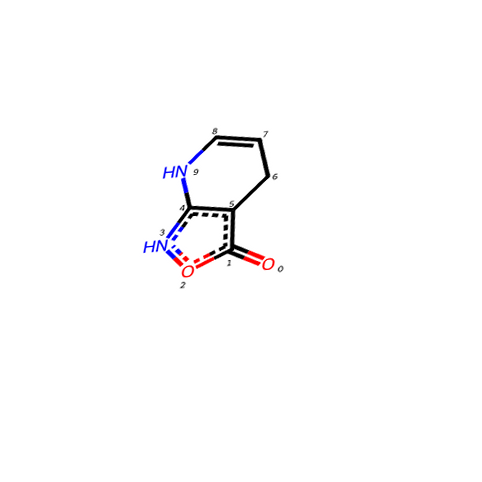 O=c1o[nH]c2c1CC=CN2